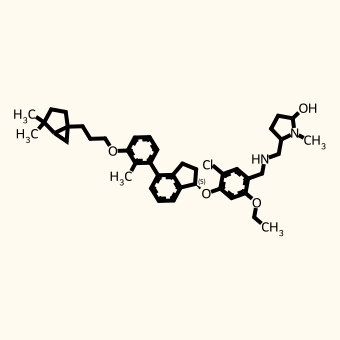 CCOc1cc(O[C@H]2CCc3c(-c4cccc(OCCCC56CCC(C)(C)C5C6)c4C)cccc32)c(Cl)cc1CNCC1CCC(O)N1C